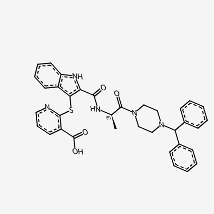 C[C@@H](NC(=O)c1[nH]c2ccccc2c1Sc1ncccc1C(=O)O)C(=O)N1CCN(C(c2ccccc2)c2ccccc2)CC1